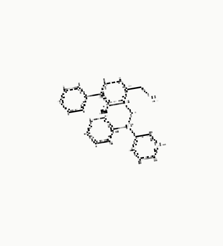 CC(C)(C)c1c(-c2ccccc2)ccc(CP)c1CP(c1cccnc1)c1cccnc1